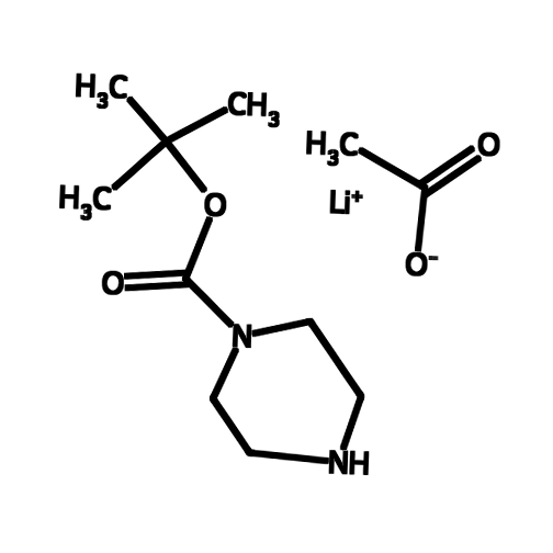 CC(=O)[O-].CC(C)(C)OC(=O)N1CCNCC1.[Li+]